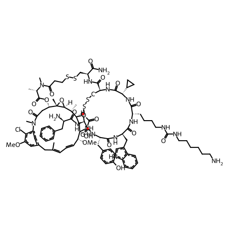 COc1cc2cc(c1Cl)N(C)C(=O)C[C@H](OC(=O)[C@H](C)N(C)C(=O)CCSSC[C@H](NC(=O)[C@@H]1CSSC[C@H](NC(=O)[C@H](N)Cc3ccccc3)C(=O)N[C@@H](Cc3ccc(O)cc3)C(=O)N[C@H](Cc3c[nH]c4ccccc34)C(=O)N[C@@H](CCCCNC(=O)NCCCCCCN)C(=O)N[C@@H](C3CC3)C(=O)N1)C(N)=O)[C@]1(C)O[C@H]1[C@H](C)[C@@H]1C[C@@](O)(NC(=O)O1)[C@H](OC)/C=C/C=C(\C)C2